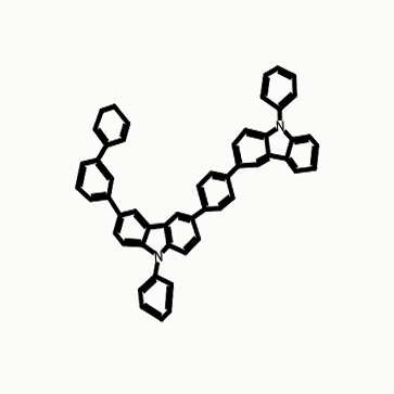 C1=CC(c2cccc(-c3ccc4c(c3)c3cc(-c5ccc(-c6ccc7c(c6)c6ccccc6n7-c6ccccc6)cc5)ccc3n4-c3ccccc3)c2)=CCC1